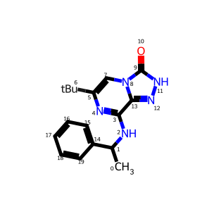 CC(Nc1nc(C(C)(C)C)cn2c(=O)[nH]nc12)c1ccccc1